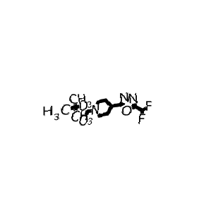 CC(C)(C)OC(=O)N1CCC(c2nnc(C(F)F)o2)CC1